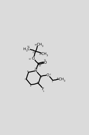 CCOC1C(F)CCCN1C(=O)OC(C)(C)C